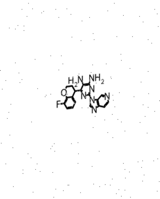 Nc1nc(-n2cnc3ccncc32)nc(C2CCOc3c(F)cccc32)c1N